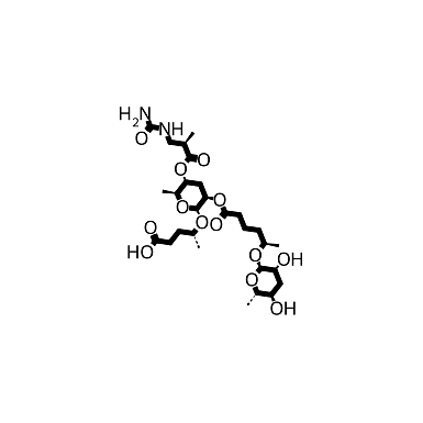 C[C@H](CCCC(=O)O[C@@H]1C[C@@H](OC(=O)[C@H](C)CNC(N)=O)[C@H](C)O[C@H]1O[C@H](C)CCC(=O)O)O[C@@H]1O[C@@H](C)[C@H](O)C[C@H]1O